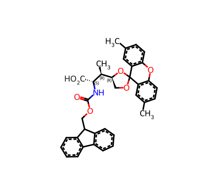 Cc1ccc2c(c1)C1(OC[C@@H]([C@H](C)[C@H](NC(=O)OCC3c4ccccc4-c4ccccc43)C(=O)O)O1)c1cc(C)ccc1O2